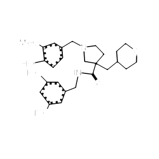 COc1cc(CN2CCC(CC3CCOCC3)(C(=O)NCc3cc(C(F)(F)F)cc(C(F)(F)F)c3)C2)ccc1O